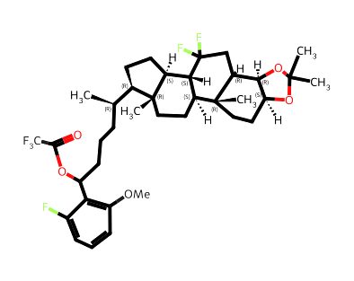 COc1cccc(F)c1C(CCC[C@@H](C)[C@H]1CC[C@H]2[C@H]3[C@H](CC[C@]12C)[C@@]1(C)CC[C@@H]2OC(C)(C)O[C@@H]2[C@@H]1CC3(F)F)OC(=O)C(F)(F)F